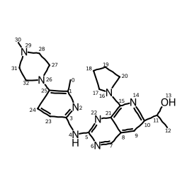 Cc1nc(Nc2ncc3cc(C(C)O)nc(N4CCCC4)c3n2)ccc1N1CCN(C)CC1